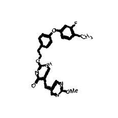 COc1ncc(Cc2c[nH]c(OCCc3ccc(Oc4ccc(C)c(F)c4)cc3)nc2=O)cn1